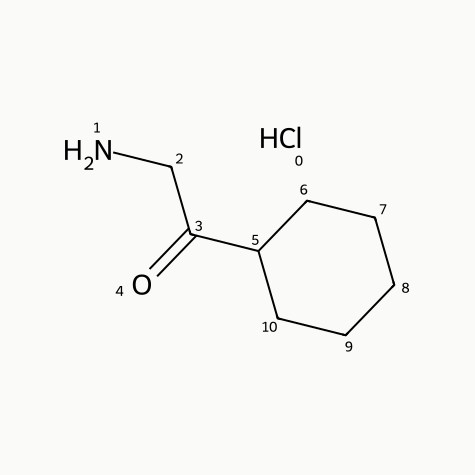 Cl.NCC(=O)C1CCCCC1